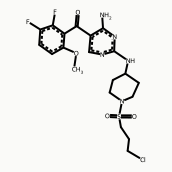 COc1ccc(F)c(F)c1C(=O)c1cnc(NC2CCN(S(=O)(=O)CCCCl)CC2)nc1N